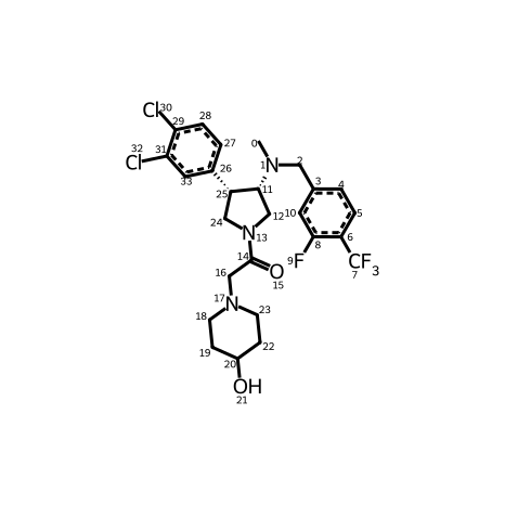 CN(Cc1ccc(C(F)(F)F)c(F)c1)[C@@H]1CN(C(=O)CN2CCC(O)CC2)C[C@@H]1c1ccc(Cl)c(Cl)c1